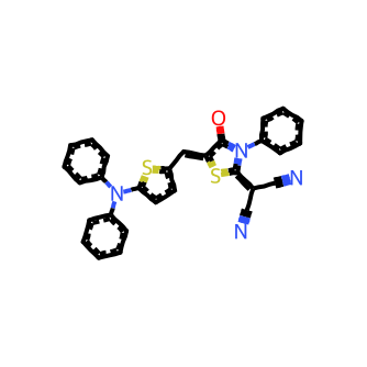 N#CC(C#N)=c1s/c(=C\c2ccc(N(c3ccccc3)c3ccccc3)s2)c(=O)n1-c1ccccc1